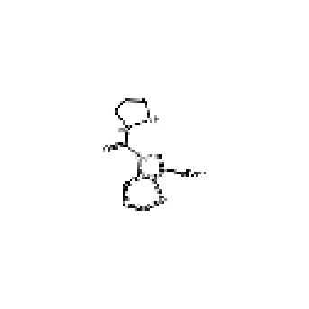 CCCCCc1cn(C(=O)[C@H]2CCCN2)c2ccccc12